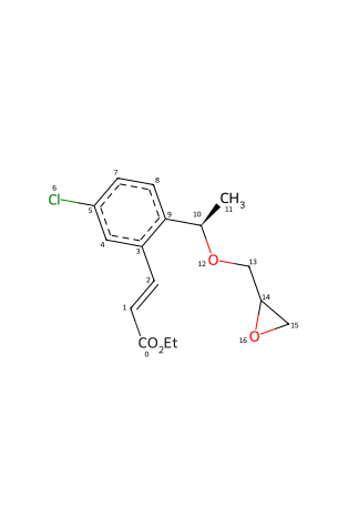 CCOC(=O)/C=C/c1cc(Cl)ccc1[C@@H](C)OCC1CO1